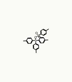 Cc1ccc(S(OS(=O)(=O)c2ccc(C)cc2)(c2ccc(C)cc2)c2ccc(C)cc2)cc1